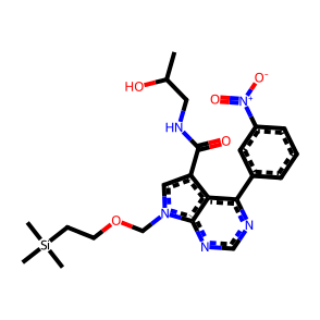 CC(O)CNC(=O)c1cn(COCC[Si](C)(C)C)c2ncnc(-c3cccc([N+](=O)[O-])c3)c12